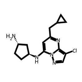 N[C@H]1CC[C@H](Nc2cc(CC3CC3)nc3c(Cl)cnn23)C1